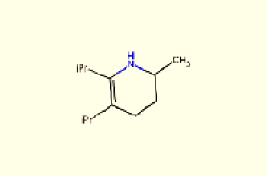 CC1CCC(C(C)C)=C(C(C)C)N1